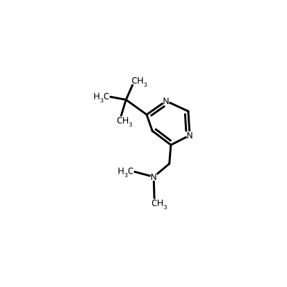 CN(C)Cc1cc(C(C)(C)C)ncn1